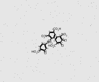 O=C(O)c1ccc(Cl)c([N+](=O)[O-])c1.O=C(O)c1ccc([N+](=O)[O-])c(Cl)c1Cl.O=C(O)c1ccc([N+](=O)[O-])cc1Cl